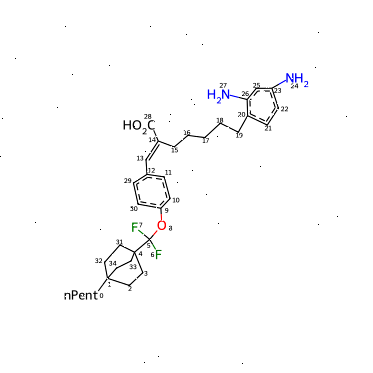 CCCCCC12CCC(C(F)(F)Oc3ccc(C=C(CCCCCc4ccc(N)cc4N)C(=O)O)cc3)(CC1)CC2